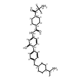 CC(N)C1CCN(Cc2ccc(-n3ccc(NC(=O)N4CCN(C(=O)C(C)(C)N)CC4)nc3=O)cc2)CC1